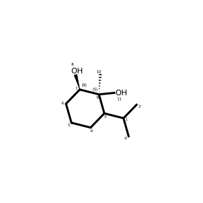 CC(C)C1CCC[C@@H](O)[C@@]1(C)O